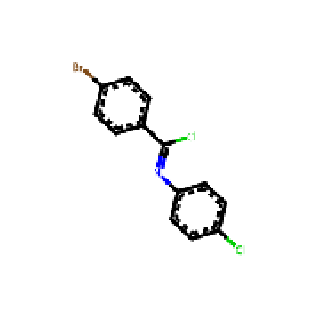 ClC(=Nc1ccc(Cl)cc1)c1ccc(Br)cc1